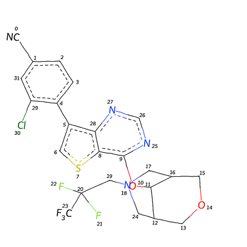 N#Cc1ccc(-c2csc3c(OC4C5COCC4CN(CC(F)(F)C(F)(F)F)C5)ncnc23)c(Cl)c1